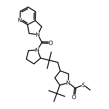 CSC(=O)N1CC(CC(C)(C)C2CCCN2C(=O)N2Cc3cccnc3C2)CC1C(C)(C)C